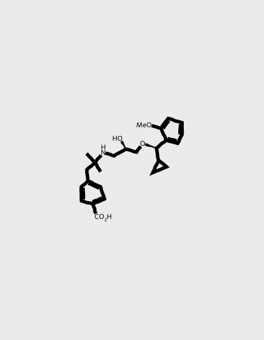 COc1ccccc1[C@H](OC[C@H](O)CNC(C)(C)Cc1ccc(C(=O)O)cc1)C1CC1